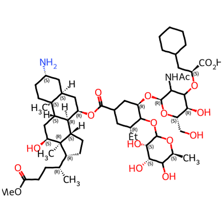 CC[C@@H]1CC(C(=O)O[C@@H]2C[C@@H]3C[C@@H](N)CC[C@]3(C)[C@H]3C[C@H](O)[C@]4(C)[C@@H]([C@H](C)CCC(=O)OC)CC[C@H]4[C@H]23)C[C@@H](O[C@@H]2O[C@@H](CO)[C@H](O)C(O[C@@H](CC3CCCCC3)C(=O)O)C2NC(C)=O)C1OC1O[C@@H](C)C(O)[C@H](O)[C@@H]1O